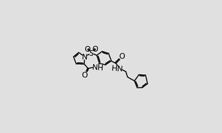 O=C(NCCc1ccccc1)c1ccc2c(c1)NC(=O)c1cccn1S2(=O)=O